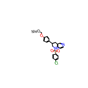 COCOc1ccc(C(CNS(=O)(=O)c2ccc(Cl)cc2)Cc2cccnc2)cc1